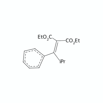 CCOC(=O)C(C(=O)OCC)=C(c1ccccc1)C(C)C